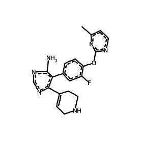 Cc1ccnc(Oc2ccc(-c3c(N)ncnc3C3=CCNCC3)cc2F)n1